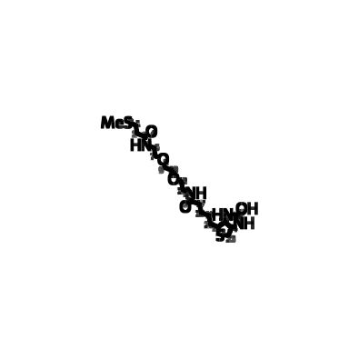 CSCCC(=O)NCCOCCOCCNC(=O)CCCCC1SCC2NC(O)NC21